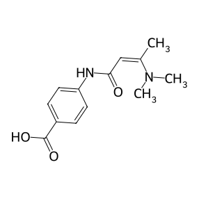 CC(=CC(=O)Nc1ccc(C(=O)O)cc1)N(C)C